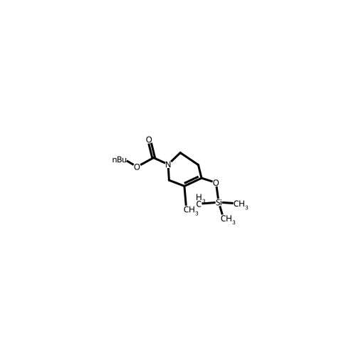 CCCCOC(=O)N1CCC(O[Si](C)(C)C)=C(C)C1